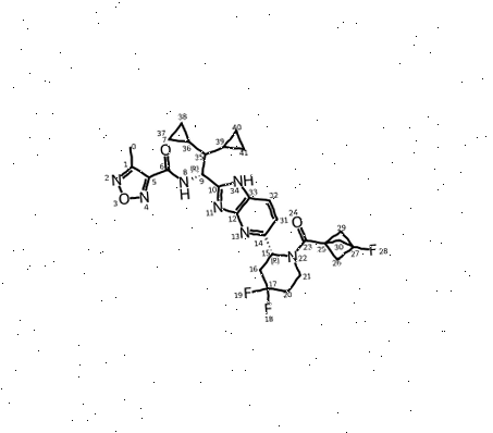 Cc1nonc1C(=O)N[C@@H](c1nc2nc([C@H]3CC(F)(F)CCN3C(=O)C34CC(F)(C3)C4)ccc2[nH]1)C(C1CC1)C1CC1